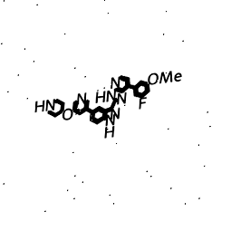 COc1cc(F)cc(-c2ccnc3[nH]c(-c4n[nH]c5ccc(-c6cncc(OC7CCNCC7)c6)cc45)nc23)c1